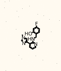 Cn1cnc(-c2cccnc2NCc2ccc(F)cc2O)c1